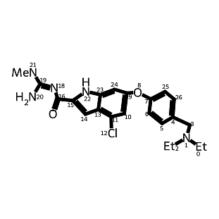 CCN(CC)Cc1ccc(Oc2cc(Cl)c3cc(C(=O)N=C(N)NC)[nH]c3c2)cc1